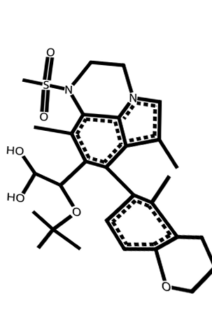 Cc1c(-c2c(C(OC(C)(C)C)C(O)O)c(C)c3c4c2c(C)cn4CCN3S(C)(=O)=O)ccc2c1CCCO2